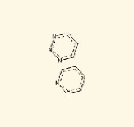 c1ccncc1.c1cnnnc1